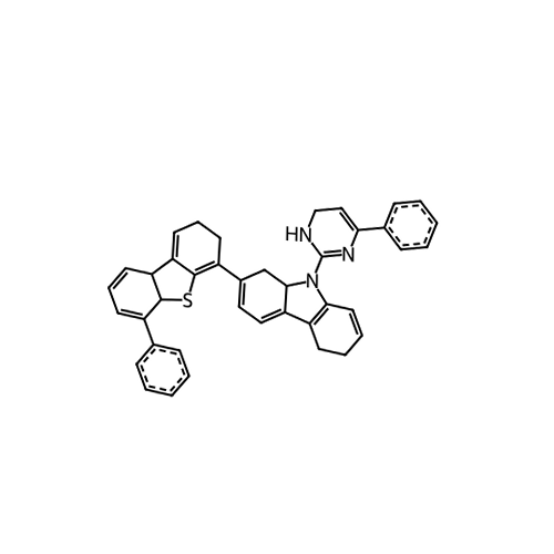 C1=CC2C3=CCCC(C4=CC=C5C6=C(C=CCC6)N(C6=NC(c7ccccc7)=CCN6)C5C4)=C3SC2C(c2ccccc2)=C1